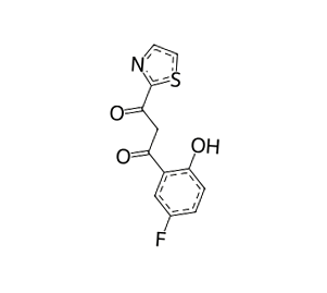 O=C(CC(=O)c1cc(F)ccc1O)c1nccs1